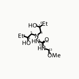 CCC(O)CN(CC(O)CC)NC(=O)NCOC